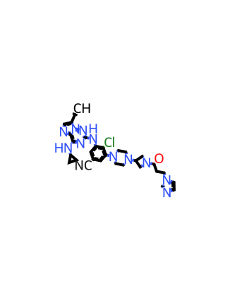 C#Cc1cnc2c(NC3CC3)nc(Nc3cc(C#N)cc(N4CCN(C5CN(C(=O)CCn6ccnc6)C5)CC4)c3Cl)nn12